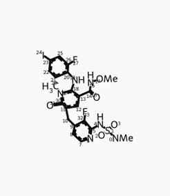 CNS(=O)(=O)Nc1nccc(Cc2cc(C(=O)NOC)c(Nc3ccc(I)cc3F)n(C)c2=O)c1F